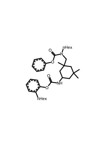 CCCCCCc1ccccc1OC(=O)NC1CC(C)(C)CC(C)(CN(CCCCCC)C(=O)Oc2ccccc2)C1